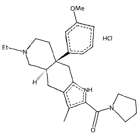 CCN1CC[C@]2(c3cccc(OC)c3)Cc3[nH]c(C(=O)N4CCCC4)c(C)c3C[C@H]2C1.Cl